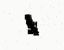 CCc1nnc(SCC(=O)Nc2nnc(-c3cccnc3)s2)n1CC